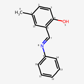 Cc1ccc(O)c(C=Nc2ccccc2)c1